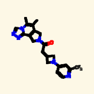 Cc1c2c(c3nncn3c1C)CN(C(=O)CC1CN(c3ccnc(C(F)(F)F)c3)C1)C2